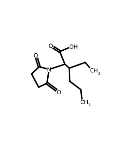 CCCC(CC)C(C(=O)O)N1C(=O)CCC1=O